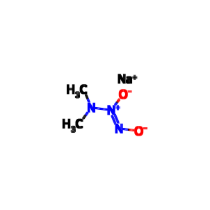 CN(C)[N+]([O-])=N[O-].[Na+]